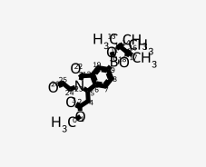 COC(=O)CC1c2ccc(B3OC(C)(C)C(C)(C)O3)cc2C(=O)N1CC=O